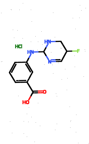 Cl.O=C(O)c1cccc(NC2N=CC(F)CN2)c1